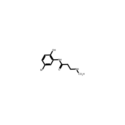 O=C(O)NCCC(=O)Nc1cc(Br)ccc1O